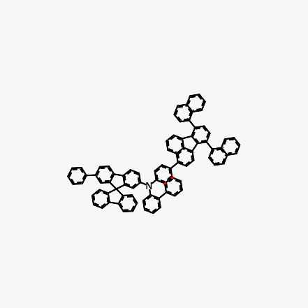 c1ccc(-c2ccc3c(c2)C2(c4ccccc4-c4ccccc42)c2cc(N(c4ccc(-c5ccc6c7c(cccc57)-c5c(-c7cccc8ccccc78)ccc(-c7cccc8ccccc78)c5-6)cc4)c4ccccc4-c4ccccc4)ccc2-3)cc1